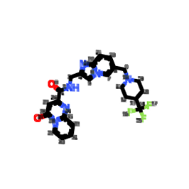 O=C(NCc1cn2cc(CN3CCC(C(F)(F)F)CC3)ccc2n1)c1cc(=O)n2ccccc2n1